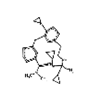 C=C(c1cccc(Cc2cc(CCPC(C)(CC3CC3)C3CC3)ccc2P2CC2)c1)N(C)C